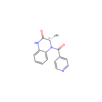 CCC[C@H]1C(=O)Nc2ccccc2N1C(=O)c1ccncc1